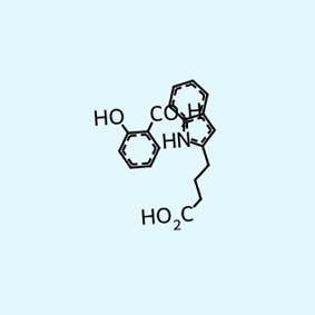 O=C(O)CCCc1cc2ccccc2[nH]1.O=C(O)c1ccccc1O